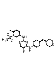 Cc1ccc(Nc2ncc(F)c(NC3=CCC(=CN4CCSCC4)C=C3)n2)cc1S(N)(=O)=O